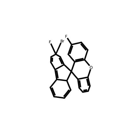 Fc1ccc2c(c1)C1(C3=CC(F)(Br)C=CC3=C3C=CC=CC31)c1ccccc1O2